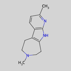 Cc1ccc2c3c([nH]c2n1)CCN(C)CC3